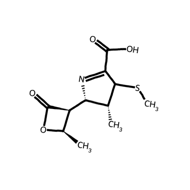 CSC1C(C(=O)O)=N[C@@H]([C@@H]2C(=O)O[C@@H]2C)[C@H]1C